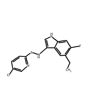 CCc1cc2c(NSc3ccc(Cl)cn3)c[nH]c2cc1F